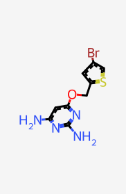 Nc1cc(OCc2cc(Br)cs2)nc(N)n1